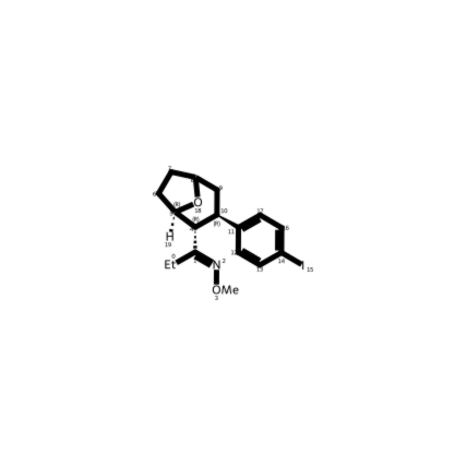 CCC(=NOC)[C@@H]1[C@H]2CCC(C[C@H]1c1ccc(I)cc1)O2